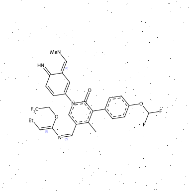 CC/C=C(/N=C\c1cn(C2=C/C(=C/NC)C(=N)C=C2)c(=O)c(-c2ccc(OC(F)F)cc2)c1C)OCC(F)(F)F